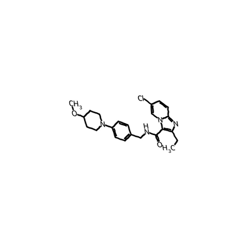 CCc1nc2ccc(Cl)cn2c1C(=O)NCc1ccc(N2CCC(OC)CC2)cc1